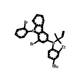 C=CC(C)(C)N(c1cc(Br)c2c(c1)c1ccccc1n2-c1ccccc1Br)c1ccc(C(C)(C)C)cc1CC